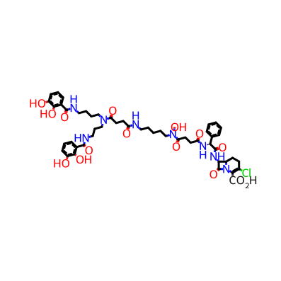 O=C(CCC(=O)N(CCCCNC(=O)c1cccc(O)c1O)CCCNC(=O)c1cccc(O)c1O)NCCCCCN(O)C(=O)CCC(=O)N[C@@H](C(=O)N[C@@H]1C(=O)N2C(C(=O)O)=C(Cl)CCC12)c1ccccc1